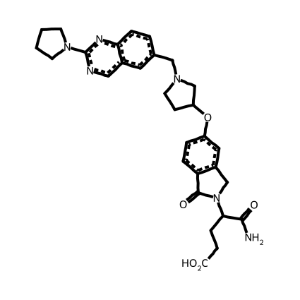 NC(=O)C(CCC(=O)O)N1Cc2cc(OC3CCN(Cc4ccc5nc(N6CCCC6)ncc5c4)C3)ccc2C1=O